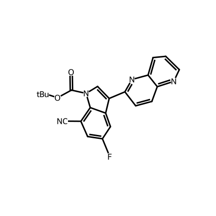 CC(C)(C)OC(=O)n1cc(-c2ccc3ncccc3n2)c2cc(F)cc(C#N)c21